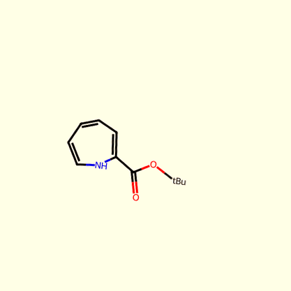 CC(C)(C)OC(=O)C1=CC=CC=CN1